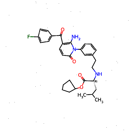 CC(C)C[C@@H](NCCc1cccc(-n2c(N)c(C(=O)c3ccc(F)cc3)ccc2=O)c1)C(=O)OC1CCCC1